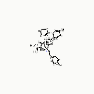 C[C@H](O)[C@@H](N/C(=N\Cc1ccc(Cl)cc1)N1C[C@H](c2ccccc2)C(c2ccc(Cl)cc2)=N1)C(N)=O